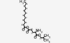 CCCCCCCCCCCC(=O)OC(=O)CC[C@H](N)C(=O)OCC(C)C